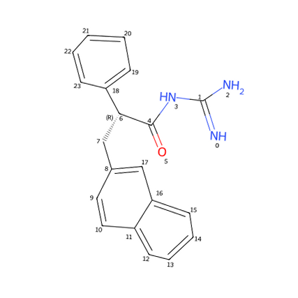 N=C(N)NC(=O)[C@H](Cc1ccc2ccccc2c1)c1ccccc1